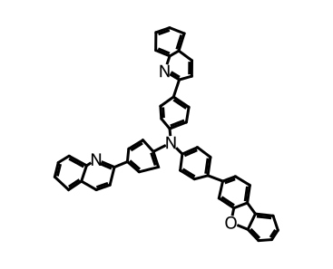 c1ccc2nc(-c3ccc(N(c4ccc(-c5ccc6c(c5)oc5ccccc56)cc4)c4ccc(-c5ccc6ccccc6n5)cc4)cc3)ccc2c1